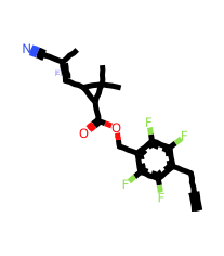 C#CCc1c(F)c(F)c(COC(=O)C2C(/C=C(\C)C#N)C2(C)C)c(F)c1F